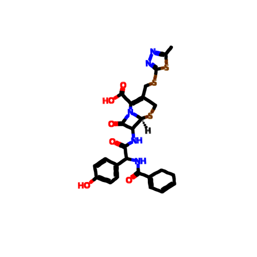 Cc1nnc(SCC2=C(C(=O)O)N3C(=O)C(NC(=O)C(NC(=O)C4=CC=CCC4)c4ccc(O)cc4)[C@@H]3SC2)s1